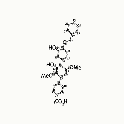 COc1cc(-c2ccc(C(=O)O)cc2)c(OC)c(O)c1-c1ccc(OCc2ccccc2)c(O)c1